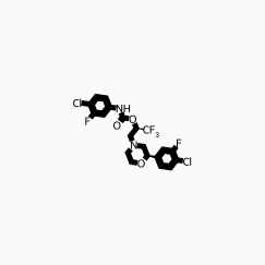 O=C(Nc1ccc(Cl)c(F)c1)O[C@@H](CN1CCO[C@H](c2ccc(Cl)c(F)c2)C1)C(F)(F)F